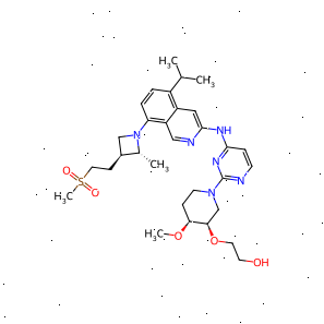 CO[C@H]1CCN(c2nccc(Nc3cc4c(C(C)C)ccc(N5C[C@H](CCS(C)(=O)=O)[C@H]5C)c4cn3)n2)C[C@H]1OCCO